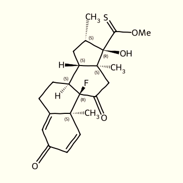 COC(=S)[C@@]1(O)[C@@H](C)C[C@H]2[C@@H]3CCC4=CC(=O)C=C[C@]4(C)[C@@]3(F)C(=O)C[C@@]21C